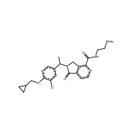 CC(=O)NCCNC(=O)c1nccc2c1CN(C(C)c1cnc(OCC3CC3)c(Cl)c1)C2=O